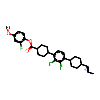 C/C=C/C1CCC(c2ccc(C3CCC(C(=O)Oc4ccc(OCC)cc4F)CC3)c(F)c2F)CC1